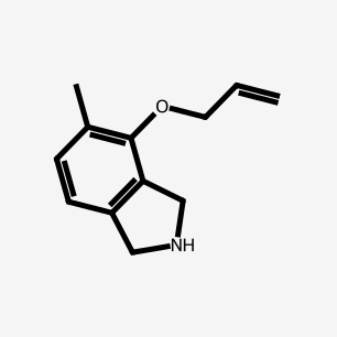 C=CCOc1c(C)ccc2c1CNC2